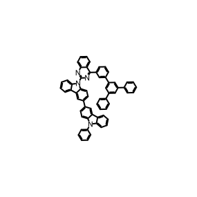 c1ccc(-c2cc(-c3ccccc3)cc(-c3cccc(-c4nc(-n5c6ccccc6c6cc(-c7ccc8c(c7)c7ccccc7n8-c7ccccc7)ccc65)nc5ccccc45)c3)c2)cc1